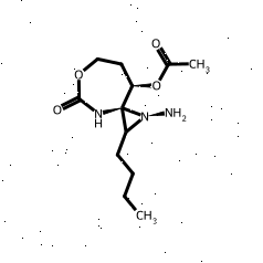 CCCCC1[N@](N)[C@]12NC(=O)OCC[C@H]2OC(C)=O